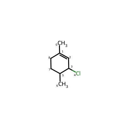 CC1=CC(Cl)C(C)CC1